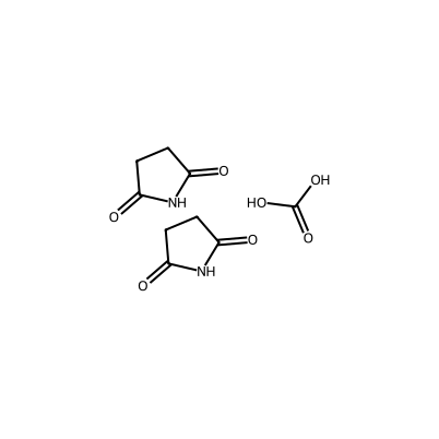 O=C(O)O.O=C1CCC(=O)N1.O=C1CCC(=O)N1